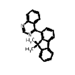 CC1(C)c2ccccc2-c2cccc(-c3ncnc4ccccc34)c21